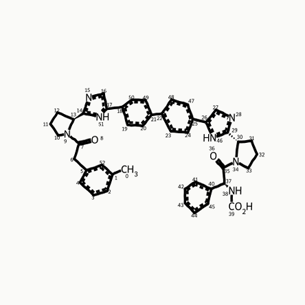 Cc1cccc(CC(=O)N2CCC[C@H]2c2ncc(-c3ccc(-c4ccc(-c5cnc([C@@H]6CCCN6C(=O)[C@H](NC(=O)O)c6ccccc6)[nH]5)cc4)cc3)[nH]2)c1